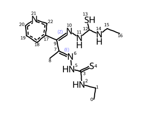 CCNC(=S)N/N=C(C)/C(=N\NC(S)NCC)c1cccnc1